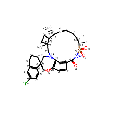 C[C@@H]1[C@@H](C)CCC[C@@H](C=O)[C@@H]2CC[C@H]2CN2C[C@@]3(CCCc4cc(Cl)ccc43)COc3ccc(cc32)C(=O)NS1(=O)=O